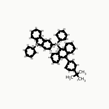 CC(C)(C)c1ccc(-c2c3ccccc3c(N(c3ccccc3)c3ccc4c(c3)c3ccccc3n4-c3ccccc3)c3ccccc23)cc1